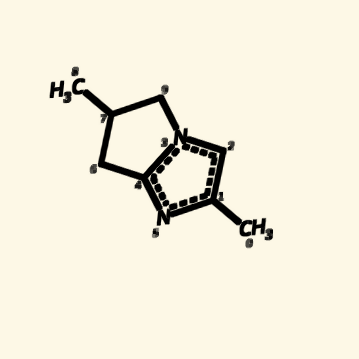 Cc1cn2c(n1)CC(C)C2